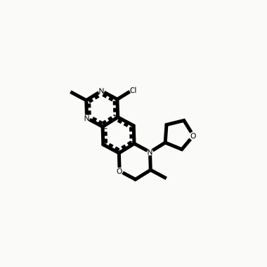 Cc1nc(Cl)c2cc3c(cc2n1)OCC(C)N3C1CCOC1